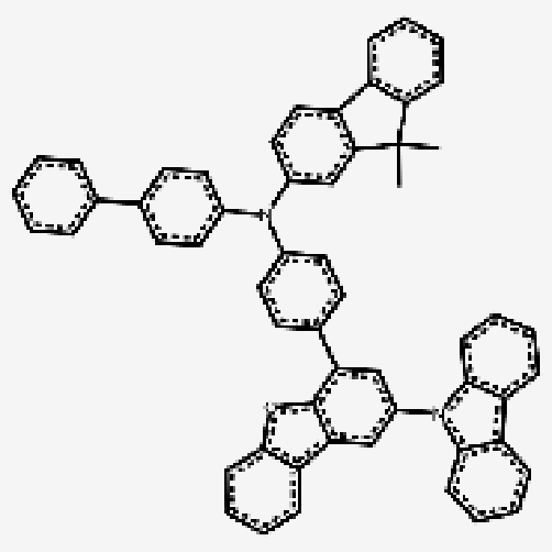 CC1(C)c2ccccc2-c2ccc(N(c3ccc(-c4ccccc4)cc3)c3ccc(-c4cc(-n5c6ccccc6c6ccccc65)cc5c4oc4ccccc45)cc3)cc21